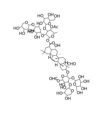 CC(=O)OC1C(C)OC(OC(=O)[C@@H]2CC(C)(C)C[C@@H]3C2[C@H](O)C[C@]2(C)C3C=C[C@@H]3[C@@]4(C)CC[C@H](OC5OC(OC=O)C(O)C(OC6OCC(O)C(O)C6O)C5OC5OC(CO)C(O)C(O)C5O)[C@@](C)(C=O)[C@@H]4CC[C@]32C)C(OC2CC(C)C(OC3OCC(O)C(O)C3O)C(O)C2O)C1OC1OC(CO)C(O)C(O)C1O